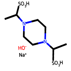 CC(N1CCN(C(C)S(=O)(=O)O)CC1)S(=O)(=O)O.[Na+].[OH-]